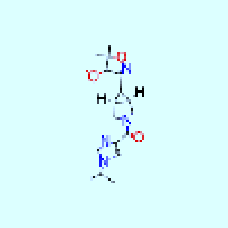 COC1C(C2[C@H]3CN(C(=O)c4cn(C(C)C)cn4)C[C@@H]23)=NOC1(C)C